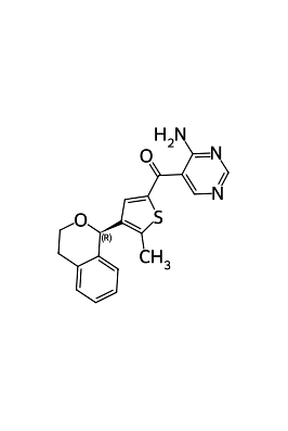 Cc1sc(C(=O)c2cncnc2N)cc1[C@@H]1OCCc2ccccc21